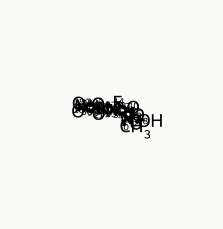 CCn1cc(OC(=O)O)c(=O)c2cc(F)c(N3CCN(S(=O)(=O)c4ccc([N+](=O)[O-])cc4)CC3)cc21